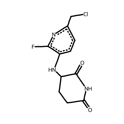 O=C1CCC(Nc2ccc(CCl)nc2F)C(=O)N1